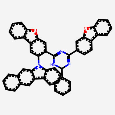 c1ccc(C2N=C(c3ccc4c(c3)oc3ccccc34)N=C(c3cc4oc5ccccc5c4cc3-n3c4ccccc4c4cc5ccccc5cc43)N2)cc1